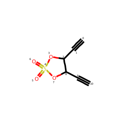 C#CC1OS(=O)(=O)OC1C#C